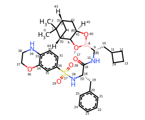 CC1(C)[C@H]2C[C@@H]1C1OB([C@H](CC3CCC3)NC(=O)[C@H](Cc3ccccc3)NS(=O)(=O)c3ccc4c(c3)OCCN4)O[C@@H]1C2